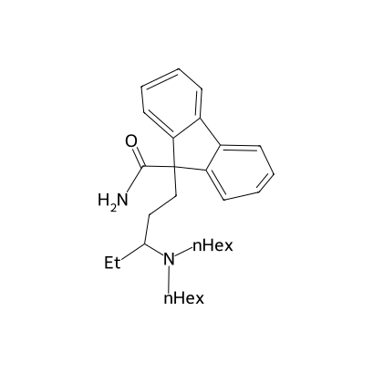 CCCCCCN(CCCCCC)C(CC)CCC1(C(N)=O)c2ccccc2-c2ccccc21